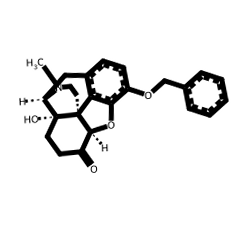 CN1CC[C@]23c4c5ccc(OCc6ccccc6)c4O[C@H]2C(=O)CC[C@@]3(O)[C@H]1C5